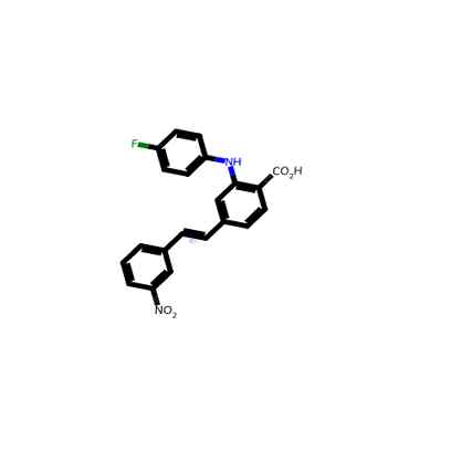 O=C(O)c1ccc(/C=C/c2cccc([N+](=O)[O-])c2)cc1Nc1ccc(F)cc1